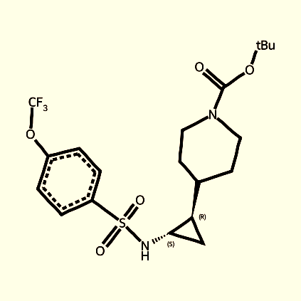 CC(C)(C)OC(=O)N1CCC([C@H]2C[C@@H]2NS(=O)(=O)c2ccc(OC(F)(F)F)cc2)CC1